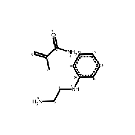 C=C(C)C(N)=O.NCCNc1ccccc1